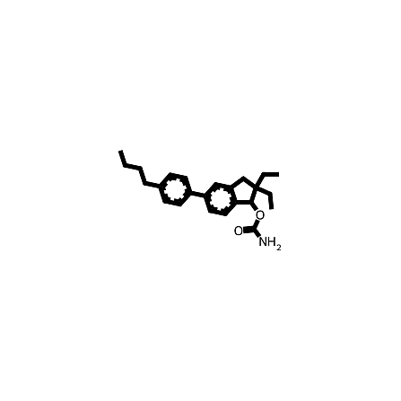 CCCCc1ccc(-c2ccc3c(c2)CC(CC)(CC)C3OC(N)=O)cc1